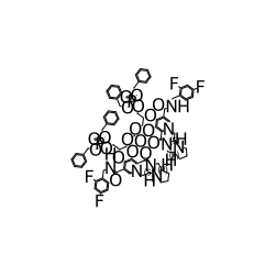 O=C(OC(CCOP(=O)(OCc1ccccc1)OCc1ccccc1)Oc1c2n(cc(C(=O)NCc3ccc(F)cc3F)c1=O)C[C@@H]1N(C[C@H]3CCCN31)C2=O)OC(CCOP(=O)(OCc1ccccc1)OCc1ccccc1)Oc1c2n(cc(C(=O)NCc3ccc(F)cc3F)c1=O)C[C@@H]1N(C[C@H]3CCCN31)C2=O